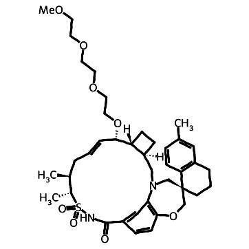 COCCOCCOCCO[C@H]1/C=C/C[C@H](C)[C@@H](C)S(=O)(=O)NC(=O)c2ccc3c(c2)N(C[C@@H]2CC[C@H]21)C[C@@]1(CCCc2cc(C)ccc21)CO3